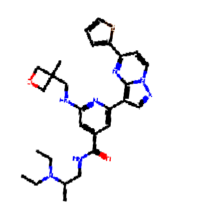 CCN(CC)C(C)CNC(=O)c1cc(NCC2(C)COC2)nc(-c2cnn3ccc(-c4cccs4)nc23)c1